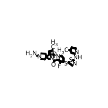 Cc1ccnc(Nc2ncc(Sc3ccnc(C(=O)NCC4(c5cc(C)on5)CCN(CN)CC4)c3F)s2)c1